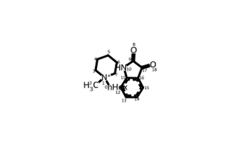 CCCCCC[N+]1(C)CCCCC1.O=C1Nc2ccccc2C1=O